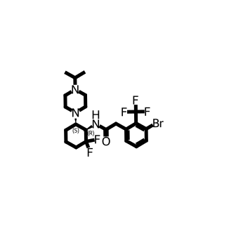 CC(C)N1CCN([C@H]2CCCC(F)(F)[C@@H]2NC(=O)Cc2cccc(Br)c2C(F)(F)F)CC1